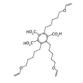 C=COCCCCCc1c(CCCCCOC=C)c(C(=O)O)c(C(=O)O)c(CCCCCOC=C)c1C(=O)O